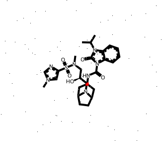 CC(C)n1c(=O)n(C(=O)NC2CC3CCC(C2)N3C[C@@H](O)CN(C)S(=O)(=O)c2cn(C)cn2)c2ccccc21